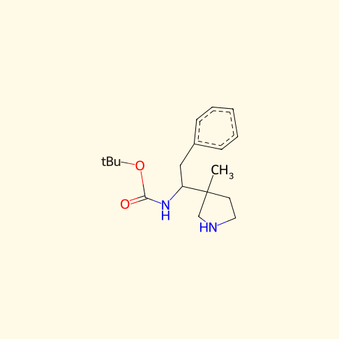 CC(C)(C)OC(=O)NC(Cc1ccccc1)C1(C)CCNC1